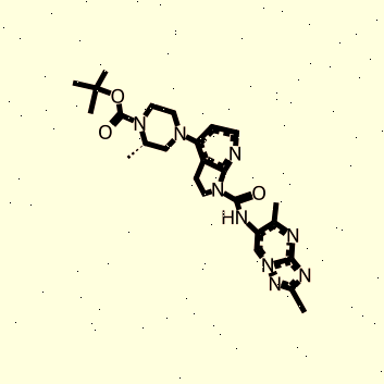 Cc1nc2nc(C)c(NC(=O)N3CCc4c(N5CCN(C(=O)OC(C)(C)C)[C@@H](C)C5)ccnc43)cn2n1